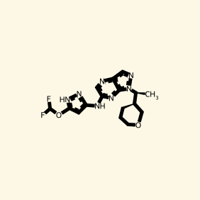 C[C@@H]([C@@H]1CCCOC1)n1ncc2ncc(Nc3cc(OC(F)F)[nH]n3)nc21